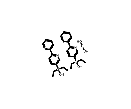 CC[Si](O)(CC)c1ccc(-c2ccccn2)nc1.CC[Si](O)(CC)c1ccc(-c2ccccn2)nc1.[OH][Ru][OH]